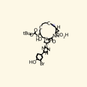 CC(C)(C)OC(=O)N[C@H]1CCCCC/C=C\[C@@H]2C[C@@]2(C(=O)O)NC(=O)[C@@H]2C[C@@H](n3nnc(-c4ccc(O)c(Br)c4)n3)CN2C1=O